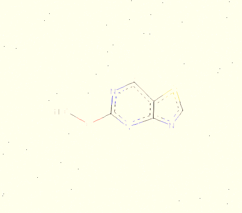 COc1ncc2scnc2n1